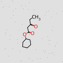 CCC(=O)CC(=O)OC1CCCCC1